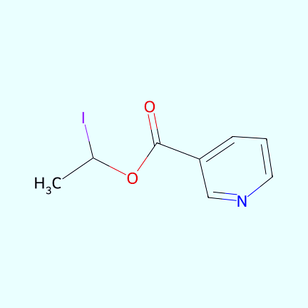 CC(I)OC(=O)c1cccnc1